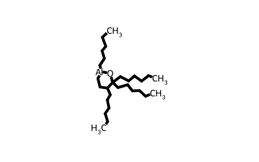 CCCCCCC1C[CH2][Al]([CH2]CCCCC)[O]C1(CCCCCC)CCCCCC